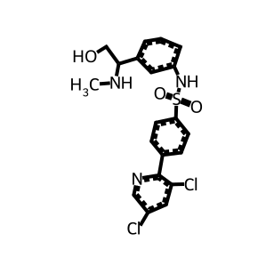 CNC(CO)c1cccc(NS(=O)(=O)c2ccc(-c3ncc(Cl)cc3Cl)cc2)c1